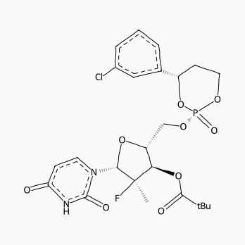 CC(C)(C)C(=O)O[C@@H]1[C@@H](CO[P@@]2(=O)OCC[C@@H](c3cccc(Cl)c3)O2)O[C@@H](n2ccc(=O)[nH]c2=O)[C@]1(C)F